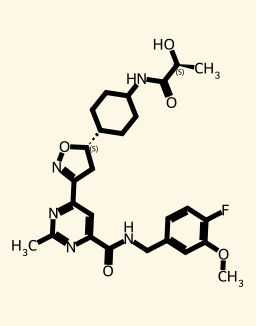 COc1cc(CNC(=O)c2cc(C3=NO[C@H](C4CCC(NC(=O)[C@H](C)O)CC4)C3)nc(C)n2)ccc1F